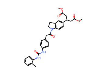 COC(=O)CC(CC(=O)OC)c1ccc2c(c1)CCN2C(=O)Cc1ccc(NC(=O)Nc2ccccc2C)cc1